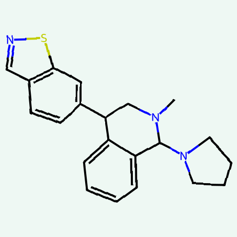 CN1CC(c2ccc3cnsc3c2)c2ccccc2C1N1CCCC1